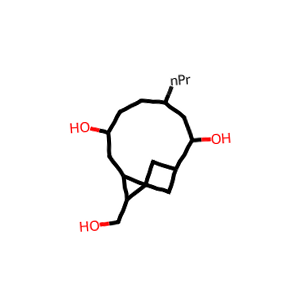 CCCC1CCC(O)CC2C(CO)C23CC(C3)C(O)C1